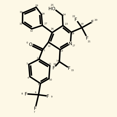 O=C(c1ccc(C(F)(F)F)cc1)c1c(C(F)F)nc(C(F)(F)F)c(CO)c1-c1ccccc1